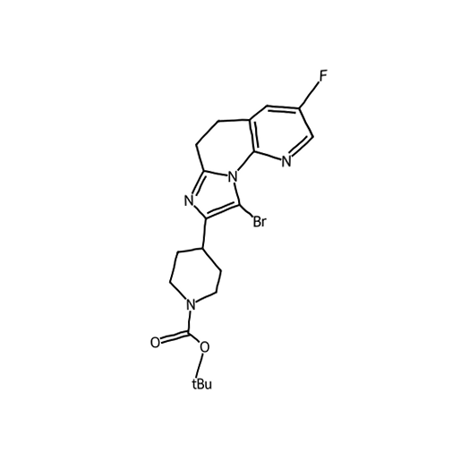 CC(C)(C)OC(=O)N1CCC(c2nc3n(c2Br)-c2ncc(F)cc2CC3)CC1